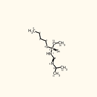 CCCCSP(=S)(NC=NC(C)C)OC